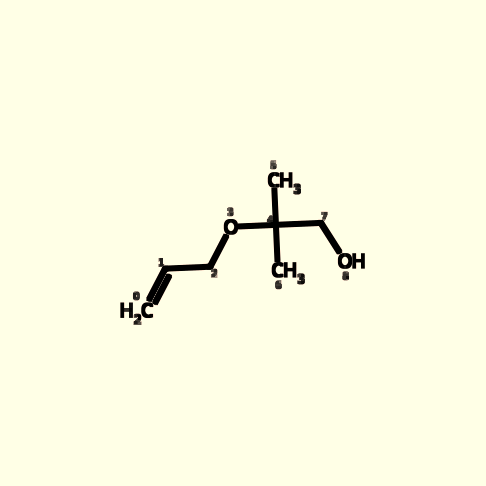 C=CCOC(C)(C)CO